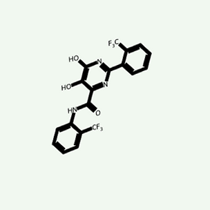 O=C(Nc1ccccc1C(F)(F)F)c1nc(-c2ccccc2C(F)(F)F)nc(O)c1O